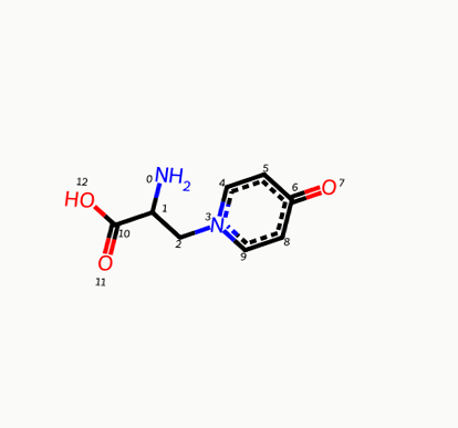 NC(Cn1ccc(=O)cc1)C(=O)O